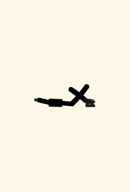 [CH2]C#CCC(C)(C)CC